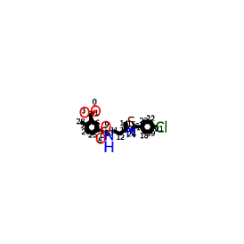 COC(=O)c1cc(S(=O)(=O)NCCc2csc(-c3ccc(Cl)cc3)n2)ccc1C